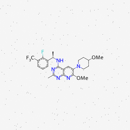 COc1nc2nc(C)nc(N[C@H](C)c3cccc(C(F)(F)F)c3F)c2cc1N1CCC(OC)CC1